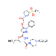 CCOC(=O)N1CCN(C(=O)[C@H](CCC(=O)O)NC(=O)c2cc(OCC(=O)N3CCC(S(C)(=O)=O)C3)n(-c3ccccc3)n2)CC1